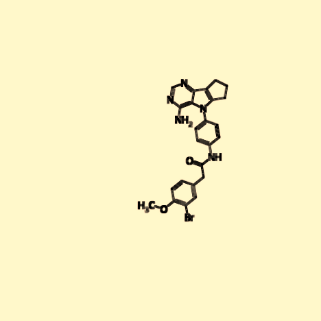 COc1ccc(CC(=O)Nc2ccc(-n3c4c(c5ncnc(N)c53)CCC4)cc2)cc1Br